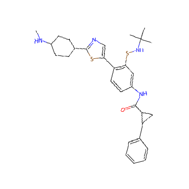 CNC1CCC(c2ncc(-c3ccc(NC(=O)C4CC4c4ccccc4)cc3SNC(C)(C)C)s2)CC1